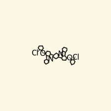 Clc1ccccc1Oc1ccc2c3cc4c(cc3n3c5ccccc5c1c23)c1ccc(Oc2ccccc2Cl)c2c3ccccc3n4c12